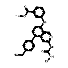 CCNC(=O)Nc1cc2c(-c3ccc(CO)cc3)ccc(Nc3cccc(C(=O)OC(C)(C)C)c3)c2cn1